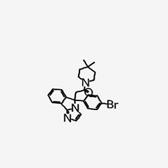 CC1(C)CCN(C(=O)CC2(c3ccc(Br)cc3)c3ccccc3-c3nccn32)CC1